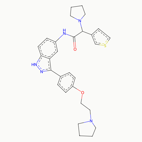 O=C(Nc1ccc2[nH]nc(-c3ccc(OCCN4CCCC4)cc3)c2c1)C(c1ccsc1)N1CCCC1